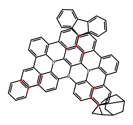 c1ccc(-c2ccc3c(c2)N(c2c(-c4ccccc4)cccc2-c2ccccc2)c2cc(-n4c5ccccc5c5ccccc54)cc4c2B3c2ccc([N+]35C6CC7CC(C6)C3C5C7)cc2N4c2c(-c3ccccc3)cccc2-c2ccccc2)cc1